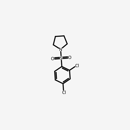 O=S(=O)(c1ccc(Cl)cc1Cl)N1CCCC1